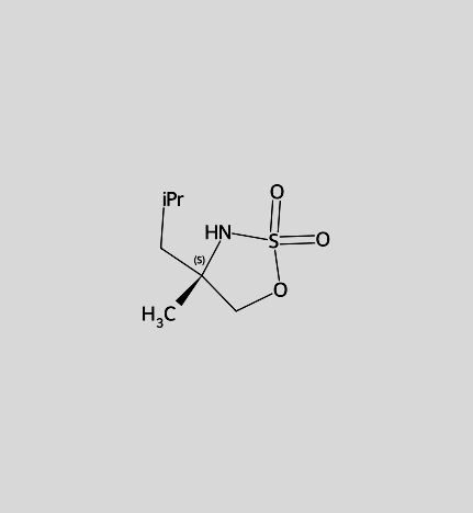 CC(C)C[C@@]1(C)COS(=O)(=O)N1